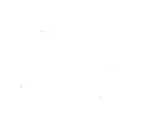 CCC1CC(CC)c2cc3nccnc3cc21